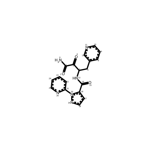 NC(=O)C(=O)C(Cc1cccnc1)NC(=O)c1ccnn1-c1ccccn1